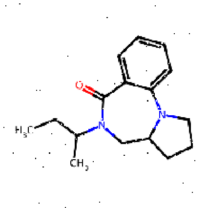 CCC(C)N1CC2CCCN2c2ccccc2C1=O